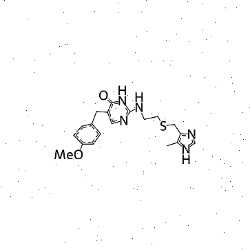 COc1ccc(Cc2cnc(NCCSCc3nc[nH]c3C)[nH]c2=O)cc1